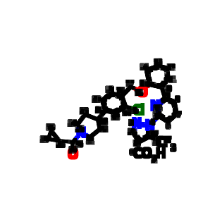 O=C(O)c1cnn(-c2cccc(-c3ccccc3OCc3ccc(C4CCN(C(=O)C5CC5)CC4)cc3Cl)n2)c1C(F)(F)F